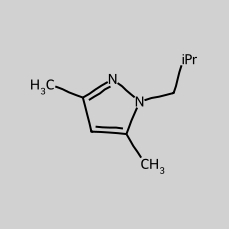 Cc1cc(C)n(CC(C)C)n1